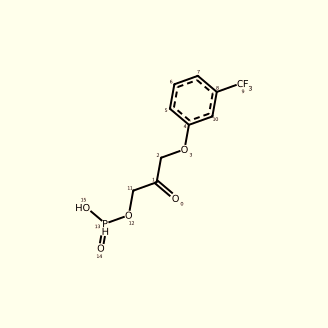 O=C(COc1cccc(C(F)(F)F)c1)CO[PH](=O)O